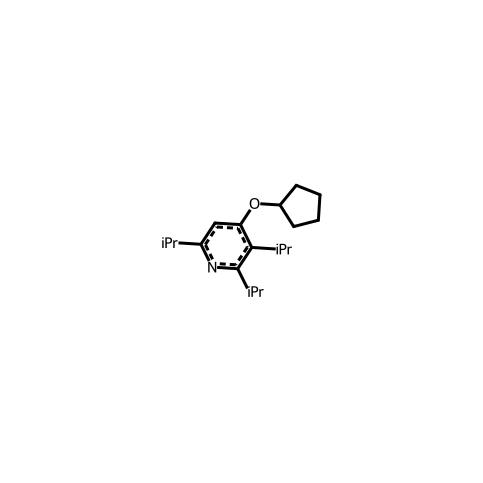 CC(C)c1cc(OC2CCCC2)c(C(C)C)c(C(C)C)n1